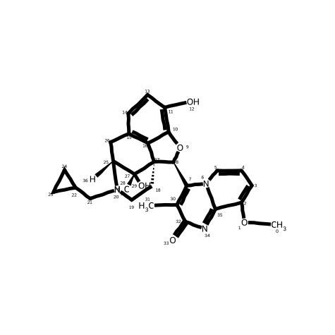 COc1cccn2c([C@@H]3Oc4c(O)ccc5c4[C@@]34CCN(CC3CC3)[C@H](C5)[C@@]4(C)O)c(C)c(=O)nc12